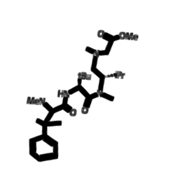 CNC(C(=O)N[C@H](C(=O)N(C)[C@H](CN(C)CC(=O)OC)C(C)C)C(C)(C)C)C(C)(C)c1ccccc1